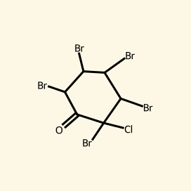 O=C1C(Br)C(Br)C(Br)C(Br)C1(Cl)Br